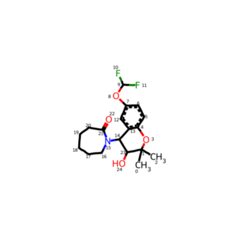 CC1(C)Oc2ccc(OC(F)F)cc2C(N2CCCCCC2=O)C1O